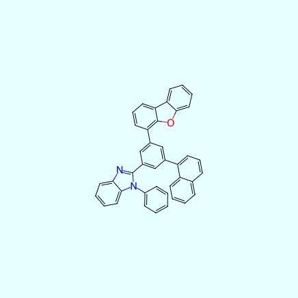 c1ccc(-n2c(-c3cc(-c4cccc5ccccc45)cc(-c4cccc5c4oc4ccccc45)c3)nc3ccccc32)cc1